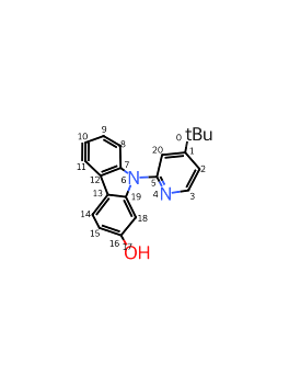 CC(C)(C)c1ccnc(-n2c3ccc#cc3c3ccc(O)cc32)c1